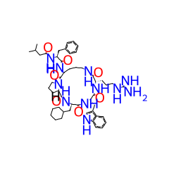 CC(C)CC(=O)N[C@@H](Cc1ccccc1)C(=O)N[C@H]1CCCNC(=O)[C@H](CCCNC(=N)N)NC(=O)[C@H](Cc2c[nH]c3ccccc23)NC(=O)[C@@H](CC2CCCCC2)NC(=O)[C@@H]2CCCN2C1=O